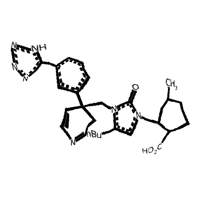 CCCCc1cn(C2C(C)CCC2C(=O)O)c(=O)n1CC1(c2cccc(-c3nnn[nH]3)c2)C=CN=CC1